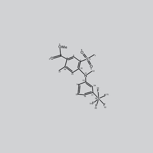 COC(=O)c1cc(S(C)(=O)=O)c(N(C)c2cccc(S(F)(F)(F)(F)F)c2)cc1C